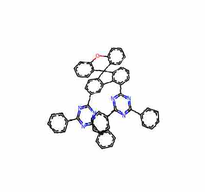 c1ccc(-c2nc(-c3ccccc3)nc(-c3ccc4c(c3)-c3c(-c5nc(-c6ccccc6)nc(-c6ccccc6)n5)cccc3C43c4ccccc4Oc4ccccc43)n2)cc1